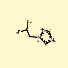 FC(F)Cn1cncn1